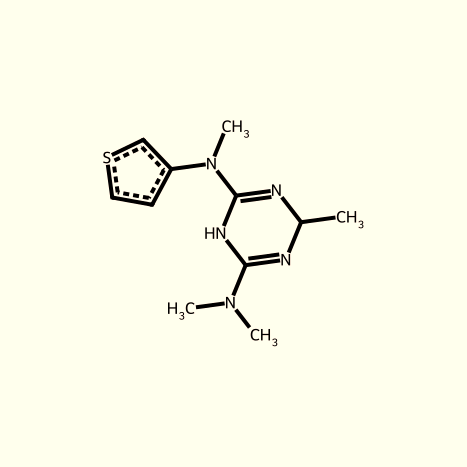 CC1N=C(N(C)C)NC(N(C)c2ccsc2)=N1